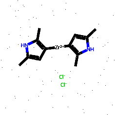 Cc1c[c]([Zr+2][c]2cc(C)[nH]c2C)c(C)[nH]1.[Cl-].[Cl-]